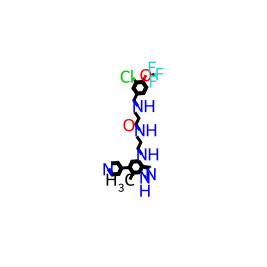 Cc1c(-c2ccncc2)cc(NCCCNC(=O)CCNCc2ccc(OC(F)(F)F)c(Cl)c2)c2cn[nH]c12